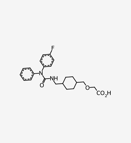 O=C(O)COCC1CCC(CNC(=O)N(c2ccccc2)c2ccc(F)cc2)CC1